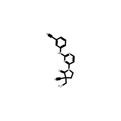 CCC1(C#N)CCN(c2ccnc(Nc3cccc(C#N)c3)n2)C1=O